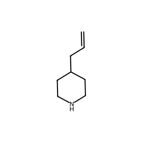 C=CCC1CCNCC1